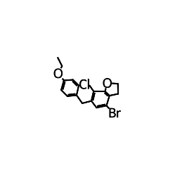 CCOc1ccc(Cc2cc(Br)c3c(c2Cl)OCC3)cc1